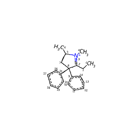 CCC1=[N+](C)C(C)CC1(c1ccccc1)c1ccccc1